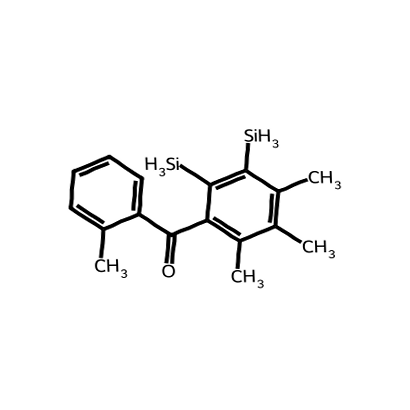 Cc1ccccc1C(=O)c1c(C)c(C)c(C)c([SiH3])c1[SiH3]